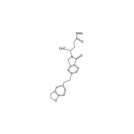 CNC(=O)CCC(C=O)N1Cc2cc(CCc3ccc4c(c3)CCO4)ccc2C1=O